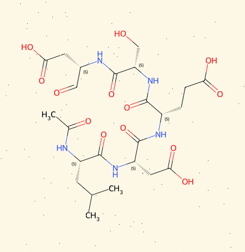 CC(=O)N[C@@H](CC(C)C)C(=O)N[C@@H](CC(=O)O)C(=O)N[C@@H](CCC(=O)O)C(=O)N[C@@H](CO)C(=O)N[C@H](C=O)CC(=O)O